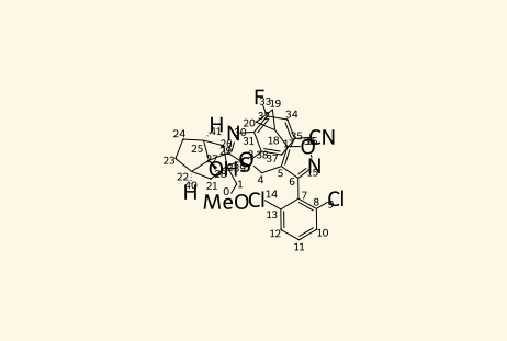 COCC1(OCc2c(-c3c(Cl)cccc3Cl)noc2C2CC2)C[C@H]2CC[C@@H](C1)[C@]2(O)c1nc2c(F)cc(C#N)cc2s1